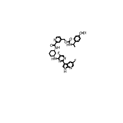 CCOc1ccc(C(C)NC(=O)OCc2ccnc(C(=O)N[C@H]3CCC[C@@H](Nc4nc(-c5c[nH]c6ncc(F)cc56)ncc4F)C3)c2)cc1